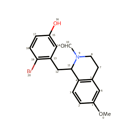 COc1ccc2c(c1)CCN(C=O)C2Cc1cc(O)ccc1Br